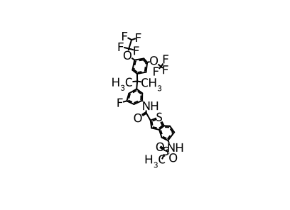 CC(C)(c1cc(F)cc(NC(=O)c2cc3cc(NS(C)(=O)=O)ccc3s2)c1)c1cc(OC(F)(F)F)cc(OC(F)(F)C(F)F)c1